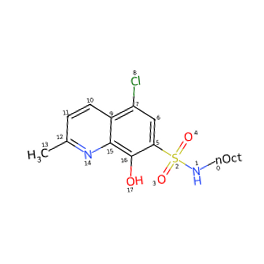 CCCCCCCCNS(=O)(=O)c1cc(Cl)c2ccc(C)nc2c1O